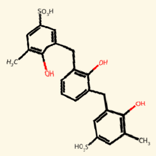 Cc1cc(S(=O)(=O)O)cc(Cc2cccc(Cc3cc(S(=O)(=O)O)cc(C)c3O)c2O)c1O